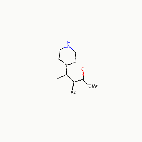 COC(=O)C(C(C)=O)C(C)C1CCNCC1